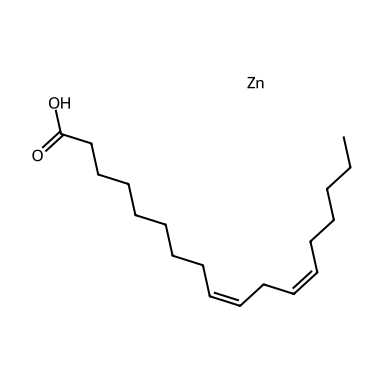 CCCCC/C=C\C/C=C\CCCCCCCC(=O)O.[Zn]